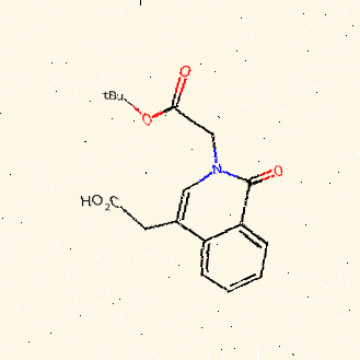 CC(C)(C)OC(=O)Cn1cc(CC(=O)O)c2ccccc2c1=O